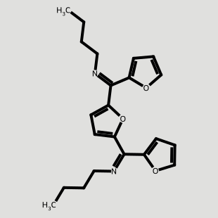 CCCCN=C(c1ccco1)c1ccc(C(=NCCCC)c2ccco2)o1